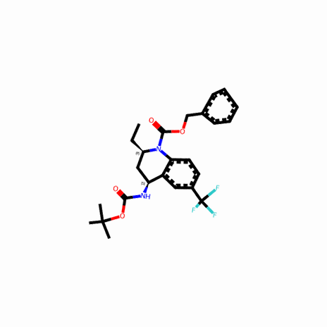 CC[C@@H]1C[C@H](NC(=O)OC(C)(C)C)c2cc(C(F)(F)F)ccc2N1C(=O)OCc1ccccc1